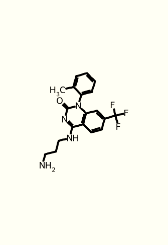 Cc1ccccc1-n1c(=O)nc(NCCCN)c2ccc(C(F)(F)F)cc21